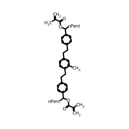 C=C(C)C(=O)OC(CCCCC)c1ccc(CCc2ccc(CCc3ccc(C(CCCCC)OC(=O)C(=C)C)cc3)c(C)c2)cc1